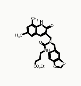 CCOC(=O)CCCNC(=O)N(Cc1ccc2c(c1)OCO2)Cc1cc2cc(C)cc(C)c2[nH]c1=O